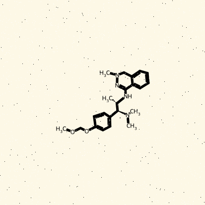 COCOc1ccc([C@@H]([C@H](C)NC2=NN(C)Cc3ccccc32)N(C)C)cc1